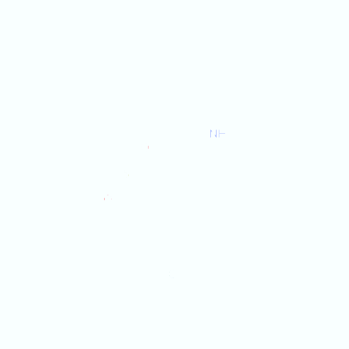 CC(C)(C)NCc1ccc(Cl)cc1S(C)(=O)=O